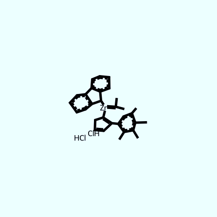 C[C](C)=[Zr]([C]1=C(c2cc(C)c(C)c(C)c2C)C=CC1)[CH]1c2ccccc2-c2ccccc21.Cl.Cl